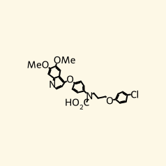 COc1cc2nccc(Oc3ccc(N(CCCOc4ccc(Cl)cc4)C(=O)O)cc3)c2cc1OC